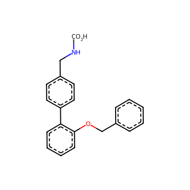 O=C(O)NCc1ccc(-c2ccccc2OCc2ccccc2)cc1